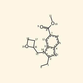 CCc1nc2ccc(C(=O)OC)cc2n1CC1CCO1